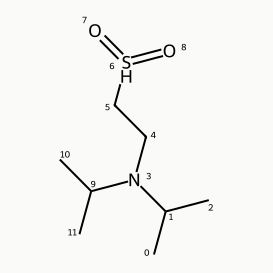 CC(C)N(CC[SH](=O)=O)C(C)C